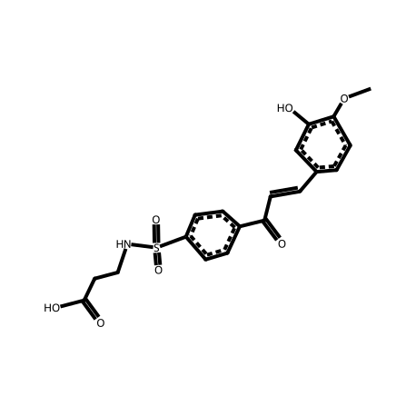 COc1ccc(/C=C/C(=O)c2ccc(S(=O)(=O)NCCC(=O)O)cc2)cc1O